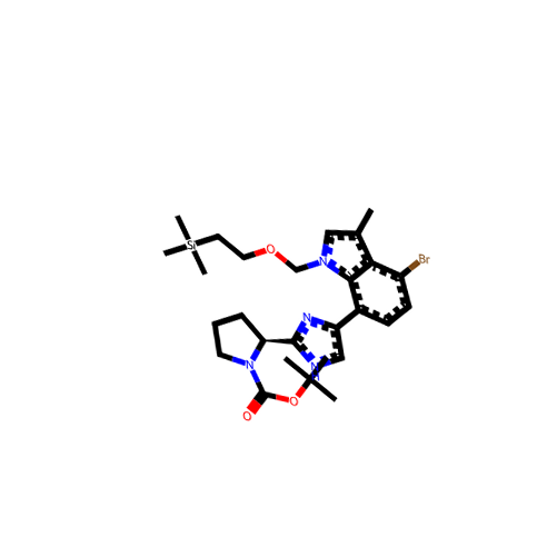 Cc1cn(COCC[Si](C)(C)C)c2c(-c3c[nH]c([C@@H]4CCCN4C(=O)OC(C)(C)C)n3)ccc(Br)c12